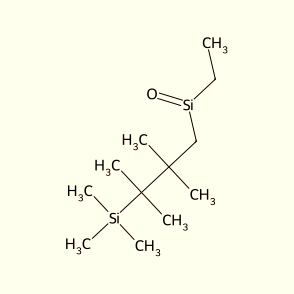 CC[Si](=O)CC(C)(C)C(C)(C)[Si](C)(C)C